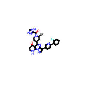 CCC1CC(c2nc3c(-c4ccc(-c5ccccc5F)nc4)cnn3c3c2C(=O)CCN3)CCN1C(=O)c1nnc[nH]1